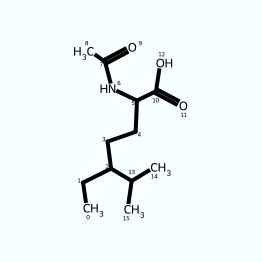 CCC(CCC(NC(C)=O)C(=O)O)C(C)C